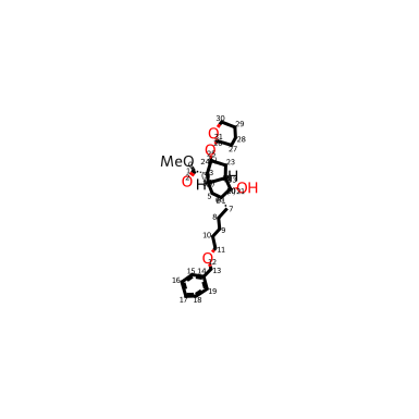 COC(=O)[C@H]1[C@@H]2C[C@@H](CCCCCOCc3ccccc3)[C@@H](O)[C@@H]2C[C@@H]1OC1CCCCO1